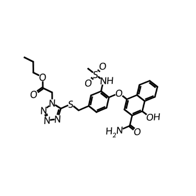 CCCOC(=O)Cn1nnnc1SCc1ccc(Oc2cc(C(N)=O)c(O)c3ccccc23)c(NS(C)(=O)=O)c1